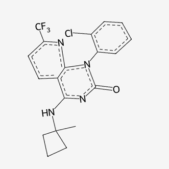 CC1(Nc2nc(=O)n(-c3ccccc3Cl)c3nc(C(F)(F)F)ccc23)CCC1